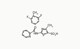 Cc1c(F)cccc1F.Cc1nc(NC(=O)c2ccccn2)sc1S(=O)(=O)O